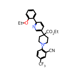 CCOC(=O)C1(c2ccc(-c3ccccc3OCC)nc2)CCN(c2ccc(C(F)(F)F)cc2C#N)CC1